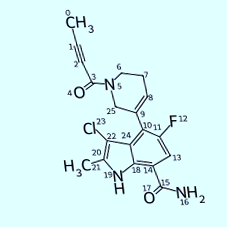 CC#CC(=O)N1CCC=C(c2c(F)cc(C(N)=O)c3[nH]c(C)c(Cl)c23)C1